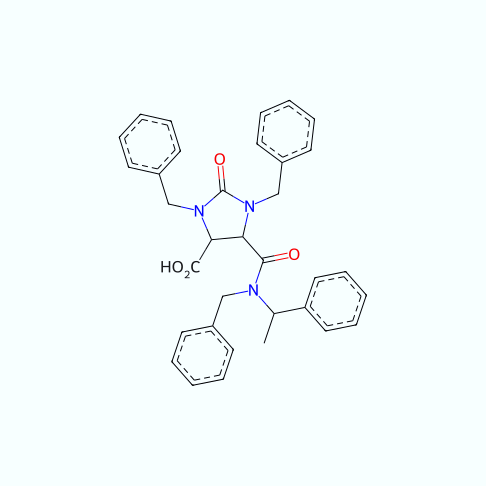 CC(c1ccccc1)N(Cc1ccccc1)C(=O)C1C(C(=O)O)N(Cc2ccccc2)C(=O)N1Cc1ccccc1